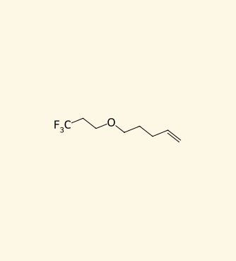 C=CCCCOCCC(F)(F)F